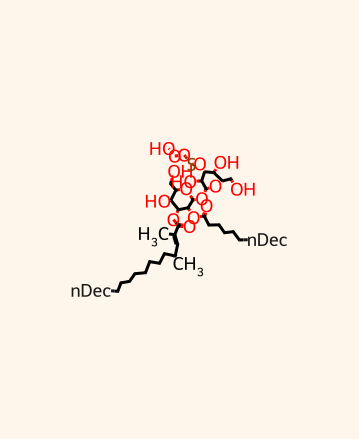 CCCCCCCCCCCCCCCCCC[C@H](C)/C=C(\C)C(=O)OC1C(O)C(CO)OC(OC2OC(CO)C(O)C(OSOOO)C2O)C1OC(=O)CCCCCCCCCCCCCCC